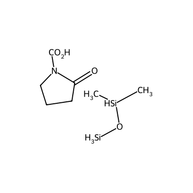 C[SiH](C)O[SiH3].O=C(O)N1CCCC1=O